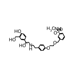 CNS(=O)(=O)c1cccc(COCCOc2ccc(CCNC[C@H](O)c3ccc(O)c(CO)c3)cc2)c1